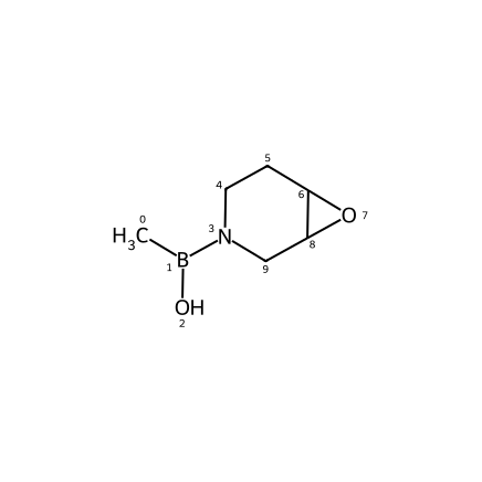 CB(O)N1CCC2OC2C1